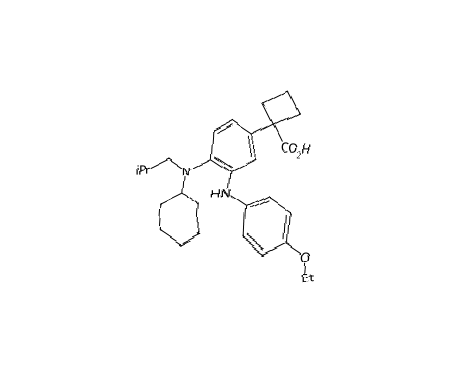 CCOc1ccc(Nc2cc(C3(C(=O)O)CCC3)ccc2N(CC(C)C)C2CCCCC2)cc1